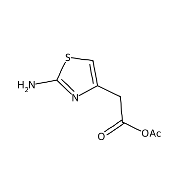 CC(=O)OC(=O)Cc1csc(N)n1